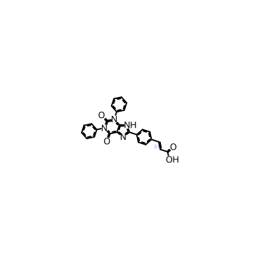 O=C(O)/C=C/c1ccc(-c2nc3c(=O)n(-c4ccccc4)c(=O)n(-c4ccccc4)c3[nH]2)cc1